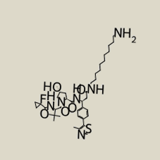 Cc1ncsc1-c1ccc([C@H](CC(=O)NCCCCCCCCCCCN)NC(=O)[C@@H]2C[C@@H](O)CN2C(=O)C(NC(=O)C2(F)CC2)C(C)(C)C)cc1